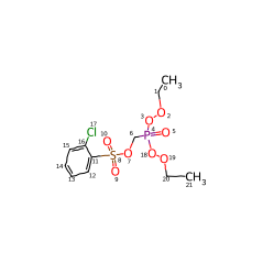 CCOOP(=O)(COS(=O)(=O)c1ccccc1Cl)OOCC